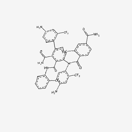 NC(=O)c1ccc(C(=O)N(c2ccc(N)cc2C(F)(F)F)c2ccc(-c3ccc(N)cc3C(F)(F)F)c(C(N)=O)c2C(=O)Nc2ccccc2C(F)(F)F)c(C(F)(F)F)c1